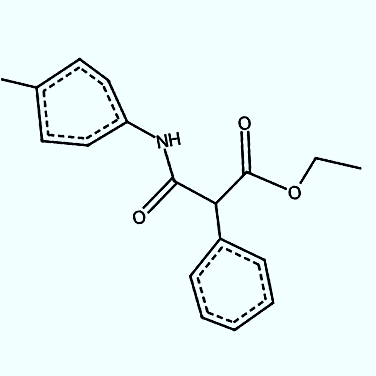 CCOC(=O)C(C(=O)Nc1ccc(F)cc1)c1ccccc1